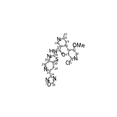 COc1cnc(Cl)cc1-c1cc(C)ncc1C(=O)Nc1nc2cnc(-c3ncon3)cc2s1